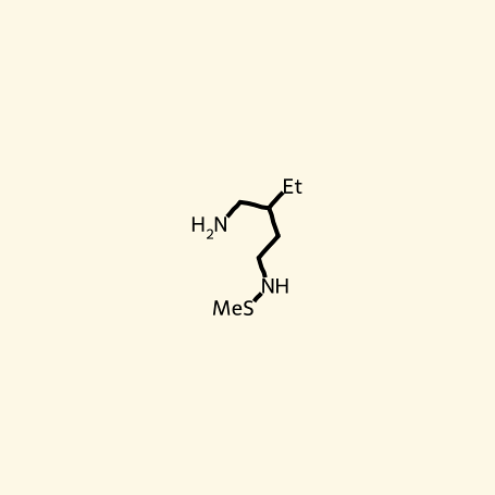 CCC(CN)CCNSC